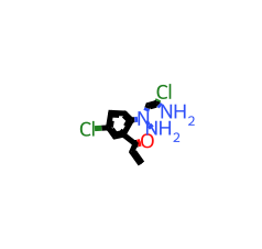 C=CC(=O)c1cc(Cl)ccc1N(N)/C=C(\N)Cl